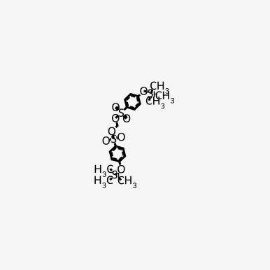 C[Si](C)(C)Oc1ccc(S(=O)(=O)OCOS(=O)(=O)c2ccc(O[Si](C)(C)C)cc2)cc1